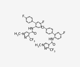 Cn1cc(C(=O)Nc2ccc(F)cc2-c2ccc(Cl)cc2)c(C(F)(F)F)n1.Cn1cc(C(=O)Nc2ccc(F)cc2-c2ccc(F)cc2)c(C(F)(F)F)n1